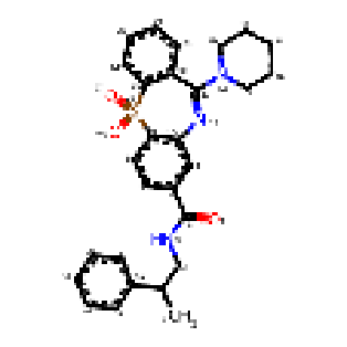 CC(CNC(=O)c1ccc2c(c1)N=C(N1CCCCC1)c1ccccc1S2(=O)=O)c1ccccc1